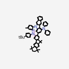 Cc1ccc2c(c1)Bc1c(-c3cc4c(cc3Nc3ccc(C(C)(C)C)cc3)-c3cc5c(cc3C4(C)C)C(C)(C)CCC5(C)C)cc(N(c3ccccc3)c3ccccc3)c3c4cc5ccccc5cc4n-2c13